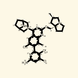 C[C@H]1CN2CCC[C@@]2(COc2nc(N3CC4CCC(C3)N4)c3cc(Cl)c(-c4nc(N)cc(Cl)c4C(F)(F)F)c(F)c3n2)C1